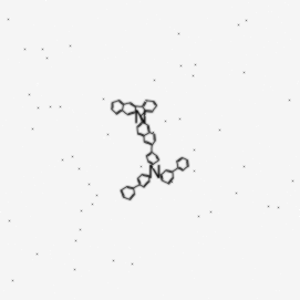 c1ccc(-c2ccc(N(c3ccc(-c4ccc5cc(-n6c7ccccc7c7cc8ccccc8cc76)ccc5c4)cc3)c3cccc(-c4ccccc4)c3)cc2)cc1